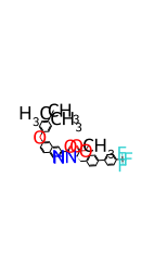 COC(=O)[C@H](Cc1ccc(-c2ccc(C(F)(F)F)cc2)cc1)NC(=O)c1cc2cc(Oc3ccc(C(C)(C)C)cc3)ccc2cn1